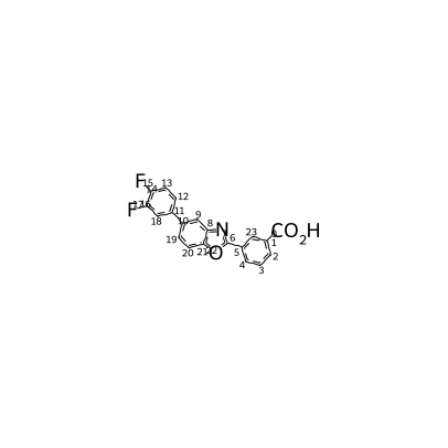 O=C(O)c1cccc(-c2nc3cc(-c4ccc(F)c(F)c4)ccc3o2)c1